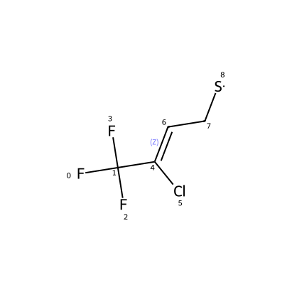 FC(F)(F)/C(Cl)=C/C[S]